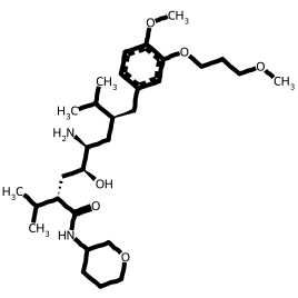 COCCCOc1cc(C[C@@H](C[C@H](N)[C@@H](O)C[C@H](C(=O)NC2CCCOC2)C(C)C)C(C)C)ccc1OC